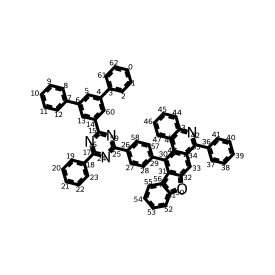 c1ccc(-c2cc(-c3ccccc3)cc(-c3nc(-c4ccccc4)nc(-c4ccc(-c5c6c(cc7c(-c8ccccc8)nc8ccccc8c57)oc5ccccc56)cc4)n3)c2)cc1